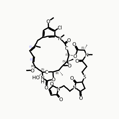 COc1cc2cc(c1Cl)N(C)C(=O)C[C@H](OC(=O)[C@H](C)N(C)C(=O)CCSC1CC(=O)N(CCN3C(=O)C=CC3=O)C1=O)[C@]1(C)OC1[C@H](C)C1C[C@@](O)(NC(=O)O1)[C@H](OC)/C=C/C=C(\C)C2